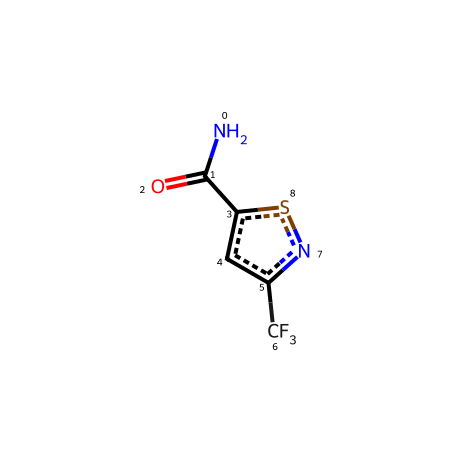 NC(=O)c1cc(C(F)(F)F)ns1